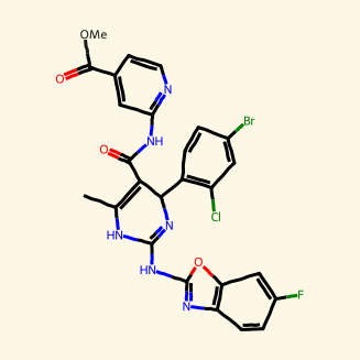 COC(=O)c1ccnc(NC(=O)C2=C(C)NC(Nc3nc4ccc(F)cc4o3)=NC2c2ccc(Br)cc2Cl)c1